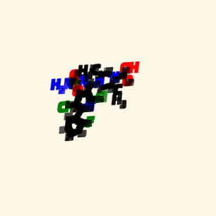 C[C@@H]1CN(C(=NS(N)(=O)=O)c2cc(Cl)c(-c3ccccc3F)nc2Cl)[C@@H](C)CN1C(=O)O